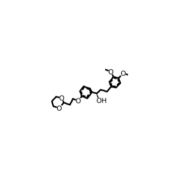 COc1ccc(CC[C@@H](O)c2cccc(OCCC3OCCCO3)c2)cc1OC